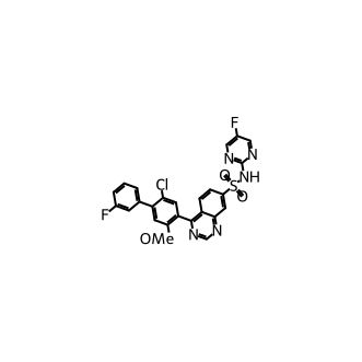 COc1cc(-c2cccc(F)c2)c(Cl)cc1-c1ncnc2cc(S(=O)(=O)Nc3ncc(F)cn3)ccc12